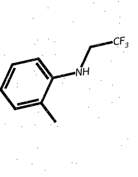 Cc1ccccc1NCC(F)(F)F